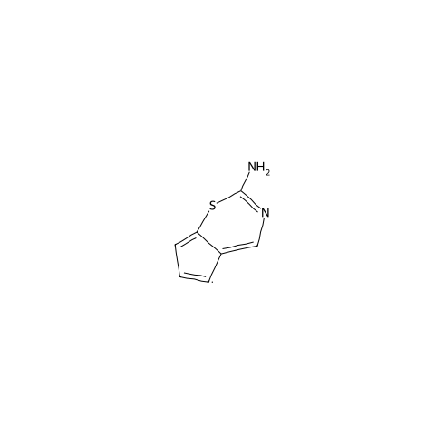 Nc1ncc2[c]ccc-2s1